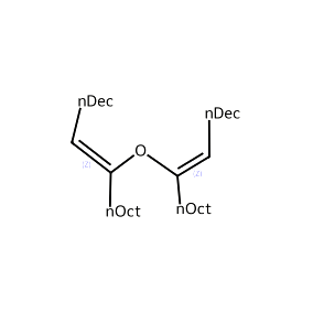 CCCCCCCCCC/C=C(/CCCCCCCC)O/C(=C\CCCCCCCCCC)CCCCCCCC